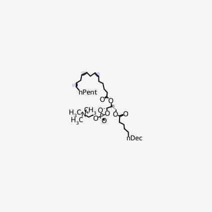 CCCCC/C=C\C/C=C\C/C=C\CCCCC(=O)O[C@H](COC(=O)CCCCCCCCCCCCCC)COP(=O)([O-])OCC[N+](C)(C)C